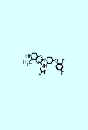 CC1NCCc2nc(N3CCC(Oc4ccc(F)cc4F)CC3)c(NCC(F)F)nc21